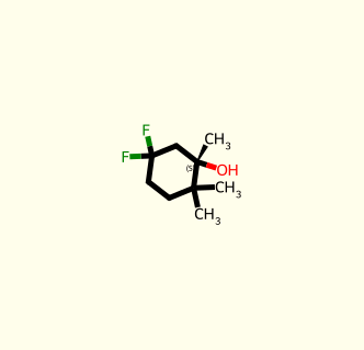 CC1(C)CCC(F)(F)C[C@]1(C)O